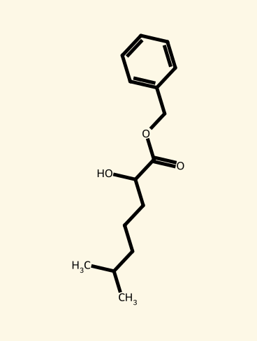 CC(C)CCCC(O)C(=O)OCc1ccccc1